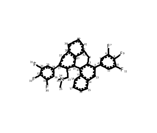 CCc1c(-c2cc(F)c(F)c(F)c2)cc2ccccc2c1-c1c(CN(C)C)c(-c2cc(F)c(F)c(F)c2)cc2ccccc12